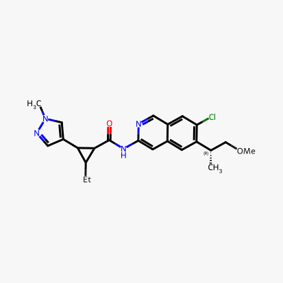 CCC1C(C(=O)Nc2cc3cc([C@@H](C)COC)c(Cl)cc3cn2)C1c1cnn(C)c1